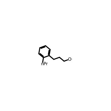 CCCc1ccccc1CCC[O]